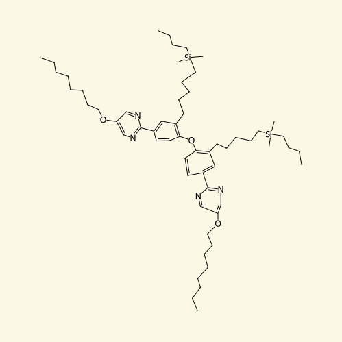 CCCCCCCCOc1cnc(-c2ccc(Oc3ccc(-c4ncc(OCCCCCCCC)cn4)cc3CCCCC[Si](C)(C)CCCC)c(CCCCC[Si](C)(C)CCCC)c2)nc1